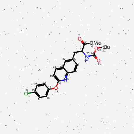 COC(=O)C(Cc1ccc2nc(Oc3ccc(Cl)cc3)ccc2c1)NC(=O)OC(C)(C)C